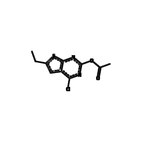 CCc1cc2c(Cl)nc(OC(C)=O)nc2s1